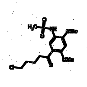 COc1cc(OC)c(C(=O)CCCCCl)cc1NS(C)(=O)=O